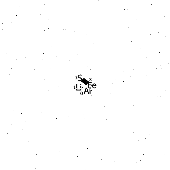 [Al].[Li].[S]=[Fe]